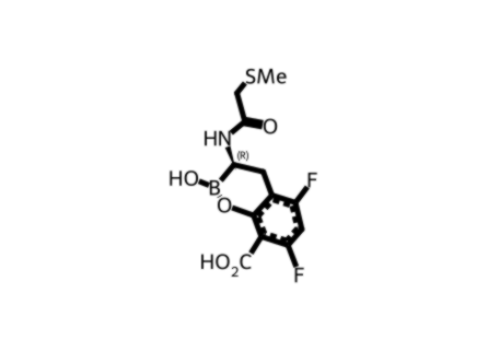 CSCC(=O)N[C@H]1Cc2c(F)cc(F)c(C(=O)O)c2OB1O